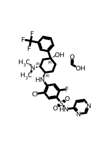 CN(C)[C@@H]1C[C@@](O)(c2cccc(C(F)(F)F)c2)CC[C@H]1Nc1cc(F)c(S(=O)(=O)Nc2ccncn2)cc1Cl.O=CO